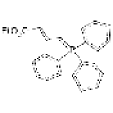 CCOC(=O)C=CC=P(c1ccccc1)(c1ccccc1)c1ccccc1